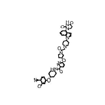 N#Cc1ccc(O[C@H]2CC[C@H](NC(=O)c3ccc(O[C@H]4CCN(C(=O)CN5CCC(n6ccc7c(N8CCC(=O)NC8=O)cccc76)CC5)C4)nn3)CC2)cc1Cl